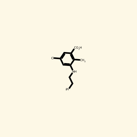 Cc1c(NCCC(C)C)cc(Cl)cc1C(=O)O